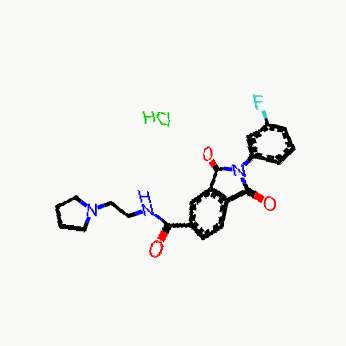 Cl.O=C(NCCN1CCCC1)c1ccc2c(c1)C(=O)N(c1cccc(F)c1)C2=O